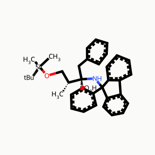 C[C@H](CO[Si](C)(C)C(C)(C)C)[C@](Cc1ccccc1)(NC1(c2ccccc2)c2ccccc2-c2ccccc21)C(=O)O